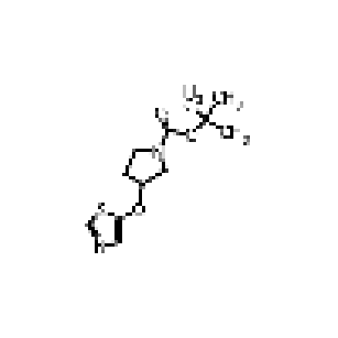 CC(C)(C)OC(=O)N1CCC(Oc2cncs2)C1